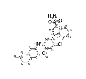 COc1cc2c(cc1Nc1ncc(Cl)c(-n3cc(S(N)(=O)=O)c4ccccc43)n1)CN(C)CC2